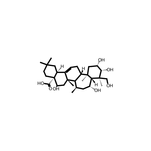 C[C@@H]1C[C@@H](O)[C@@H]2[C@](C)(C[C@H](O)[C@H](O)[C@@]2(C)CO)[C@H]2CC=C3[C@@H]4CC(C)(C)CC[C@]4(C(=O)O)[C@H](O)C[C@@]3(C)C12